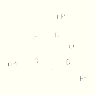 CCCB1OB(CC)OB(CCC)O1